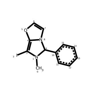 CN1C(I)=C2OC=CN2C1c1ccccc1